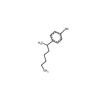 CCCCCC(C)c1ccc(S)cc1